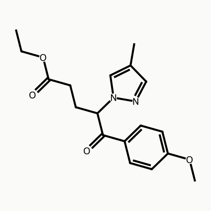 CCOC(=O)CCC(C(=O)c1ccc(OC)cc1)n1cc(C)cn1